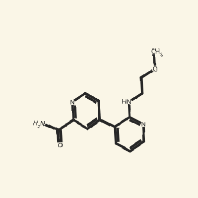 COCCNc1ncccc1-c1ccnc(C(N)=O)c1